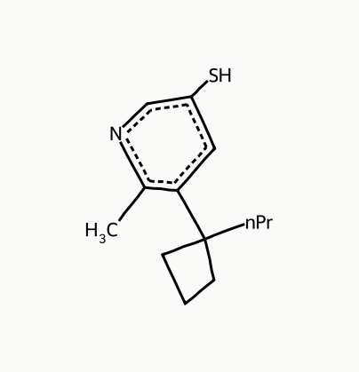 CCCC1(c2cc(S)cnc2C)CCC1